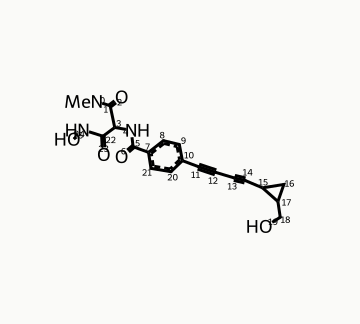 CNC(=O)C(NC(=O)c1ccc(C#CC#CC2CC2CO)cc1)C(=O)NO